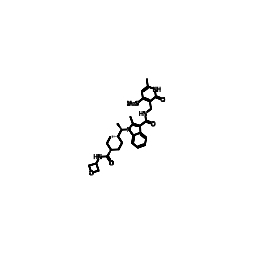 CSc1cc(C)[nH]c(=O)c1CNC(=O)c1c(C)n([C@H](C)[C@H]2CC[C@H](C(=O)NC3COC3)CC2)c2ccccc12